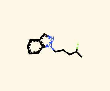 CC(F)CCCn1ncc2ccccc21